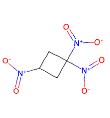 O=[N+]([O-])C1CC([N+](=O)[O-])([N+](=O)[O-])C1